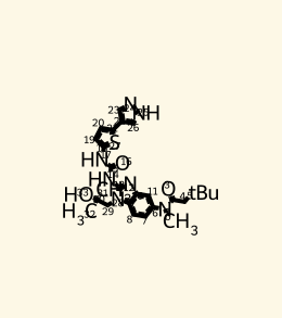 CN(C(=O)CC(C)(C)C)c1ccc2c(c1)nc(NC(=O)Nc1ccc(-c3cn[nH]c3)s1)n2CC(C)(C)O